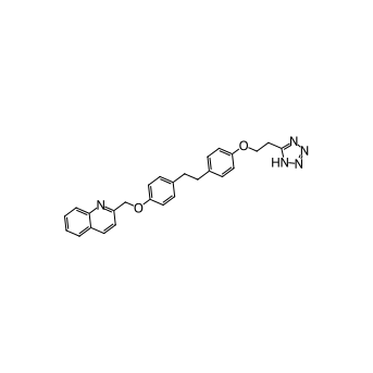 c1ccc2nc(COc3ccc(CCc4ccc(OCCc5nnn[nH]5)cc4)cc3)ccc2c1